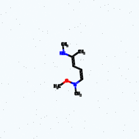 CN/C(C)=C/C=C\N(C)OC